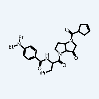 CCN(CC)c1ccc(C(=O)NC(CC(C)C)C(=O)N2CCC3C2C(=O)CN3C(=O)C2CC=CC2)cc1